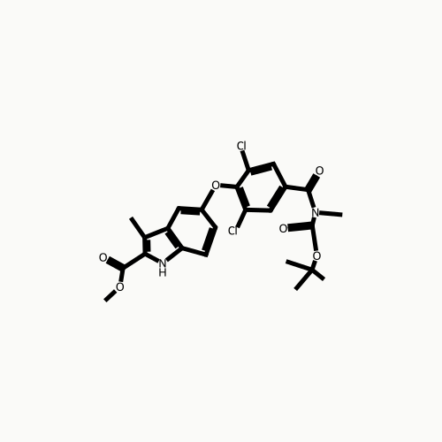 COC(=O)c1[nH]c2ccc(Oc3c(Cl)cc(C(=O)N(C)C(=O)OC(C)(C)C)cc3Cl)cc2c1C